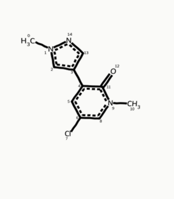 Cn1cc(-c2cc(Cl)cn(C)c2=O)cn1